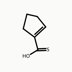 OC(=S)C1=CCCC1